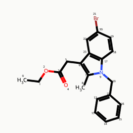 CCOC(=O)Cc1c(C)n(Cc2ccccc2)c2ccc(Br)cc12